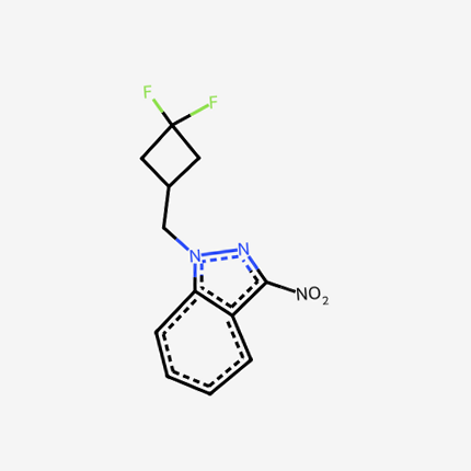 O=[N+]([O-])c1nn(CC2CC(F)(F)C2)c2ccccc12